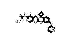 CC(C)(C)OC(=O)Nc1nccc(CN2C(=O)Oc3cc(Oc4cccnn4)ccc3C23CCC3)c1F